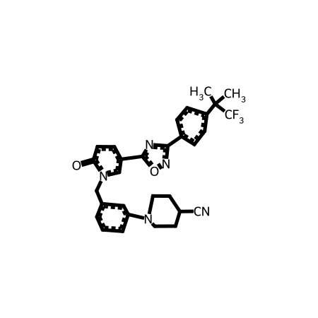 CC(C)(c1ccc(-c2noc(-c3ccc(=O)n(Cc4cccc(N5CCC(C#N)CC5)c4)c3)n2)cc1)C(F)(F)F